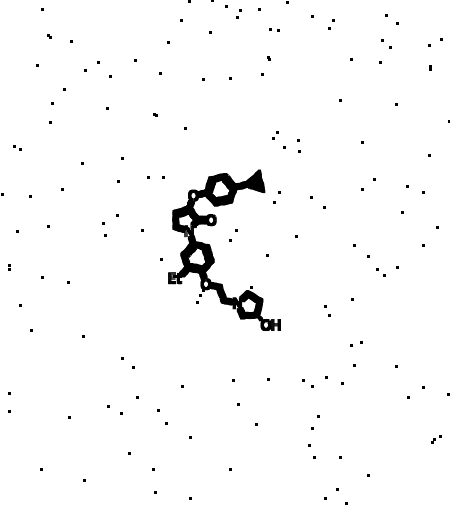 CCc1cc(N2CC=C(Oc3ccc(C4CC4)cc3)C2=O)ccc1OCCN1CC[C@H](O)C1